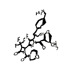 Cc1cocc1C(=O)n1nc(C2C(C(F)(F)F)C(=O)N2C(=O)N2CCOCC2)c(F)c1NCc1ccc(CN)cc1